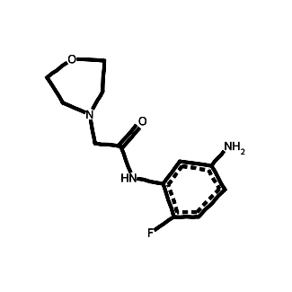 Nc1ccc(F)c(NC(=O)CN2CCOCC2)c1